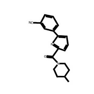 CC1CCN(C(=O)c2cccc(-c3cccc(C#N)c3)n2)CC1